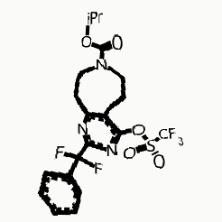 CC(C)OC(=O)N1CCc2nc(C(F)(F)c3ccccc3)nc(OS(=O)(=O)C(F)(F)F)c2CC1